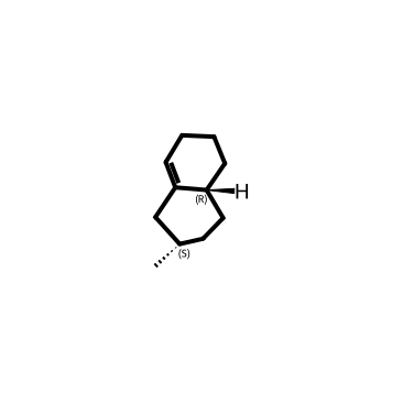 C[C@H]1CC[C@H]2CCCC=C2C1